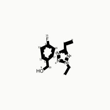 C=Cc1nnn(CC)n1.OCc1ccc(F)cc1